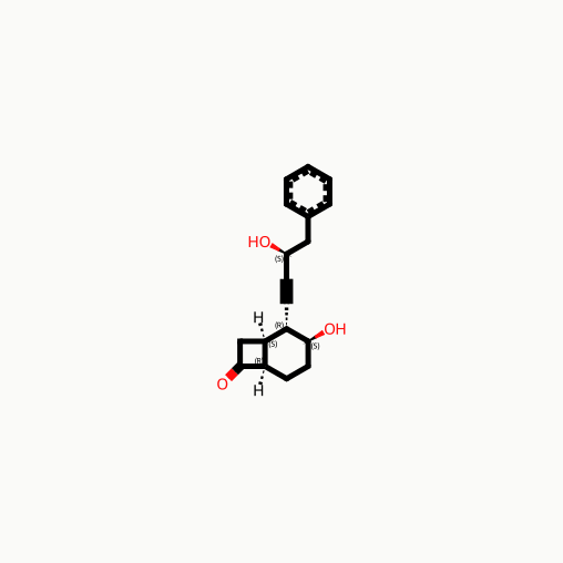 O=C1C[C@H]2[C@H](C#C[C@@H](O)Cc3ccccc3)[C@@H](O)CC[C@@H]12